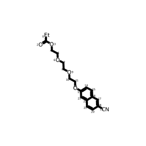 CCC(=O)OCCOCCOCCOc1ccc2cc(C#N)ccc2c1